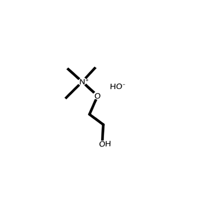 C[N+](C)(C)OCCO.[OH-]